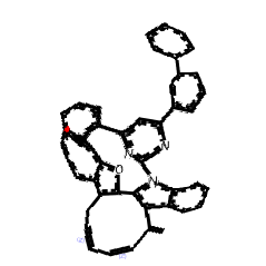 C=C1/C=C\C=C/Cc2c(oc3ccccc23)-c2c1c1ccccc1n2-c1nc(-c2ccccc2)cc(-c2cccc(-c3ccccc3)c2)n1